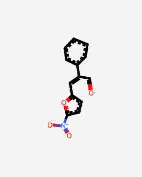 O=CC(=Cc1ccc([N+](=O)[O-])o1)c1ccccc1